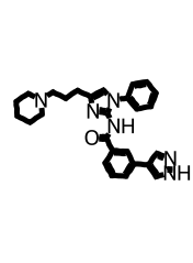 O=C(Nc1nc(CCCN2CCCCC2)cn1-c1ccccc1)c1cccc(-c2cn[nH]c2)c1